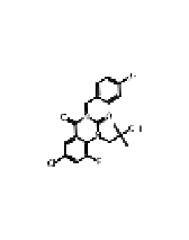 CC(C)(O)Cn1c(=O)n(Cc2ccc(Br)cc2)c(=O)c2cc(Cl)cc(F)c21